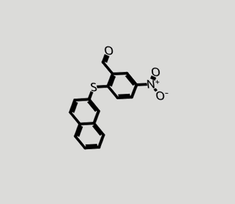 O=Cc1cc([N+](=O)[O-])ccc1Sc1ccc2ccccc2c1